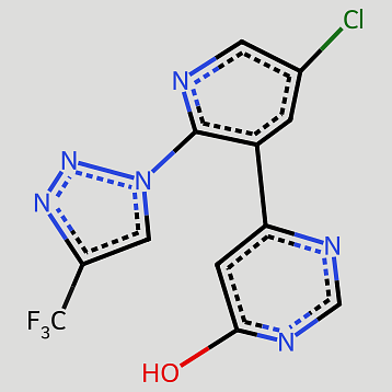 Oc1cc(-c2cc(Cl)cnc2-n2cc(C(F)(F)F)nn2)ncn1